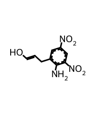 Nc1c(CC=CO)cc([N+](=O)[O-])cc1[N+](=O)[O-]